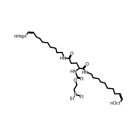 CCCCCCC/C=C\CCCCCCCCNC(=O)CCC(NC(=O)OCCN(CC)CC)C(=O)NCCCCCCCC/C=C\CCCCCCCC